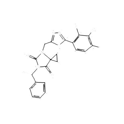 C[C@@H](c1ccccc1)N1C(=O)N(Cc2nnc(-c3ccc(F)c(O)c3F)s2)C2(CC2)C1=O